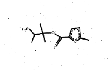 Cc1ccc(C(=O)OC(C)(C)C(C)[SiH3])s1